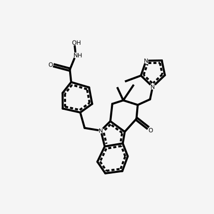 Cc1nccn1CC1C(=O)c2c(n(Cc3ccc(C(=O)NO)cc3)c3ccccc23)CC1(C)C